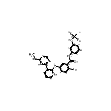 CNc1ncnc(-c2cccnc2Oc2ccc(F)c(C(=O)Nc3cccc(OC(F)(F)F)c3)c2)n1